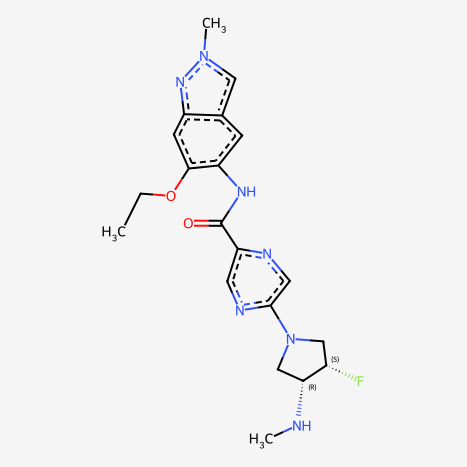 CCOc1cc2nn(C)cc2cc1NC(=O)c1cnc(N2C[C@H](F)[C@H](NC)C2)cn1